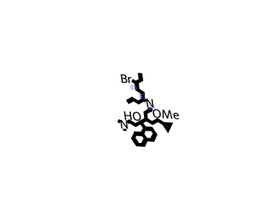 C=CCC(=C\C=C(\Br)C=C)/N=C(\CC(CCC1CC1)C(O)(CCN(C)C)c1cccc2ccccc12)OC